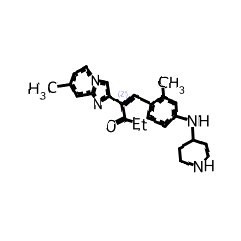 CCC(=O)/C(=C\c1ccc(NC2CCNCC2)cc1C)c1cn2ccc(C)cc2n1